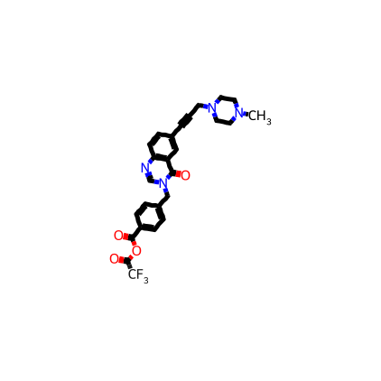 CN1CCN(CC#Cc2ccc3ncn(Cc4ccc(C(=O)OC(=O)C(F)(F)F)cc4)c(=O)c3c2)CC1